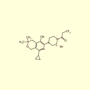 CC(C)[C@@H]1CN(c2nc(C3CC3)c3c(c2C#N)CC(C)(C)OC3)CCN1C(=O)CC(F)(F)F